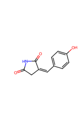 O=C1CC(=Cc2ccc(O)cc2)C(=O)N1